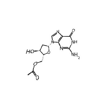 CC(=O)OC[C@H]1O[C@@H](n2cnc3c(=O)[nH]c(N)nc32)C[C@@H]1O